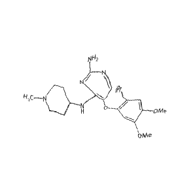 COc1cc(Oc2cnc(N)nc2NC2CCN(C)CC2)c(C(C)C)cc1OC